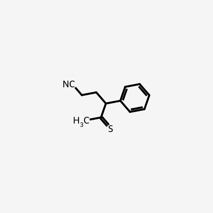 CC(=S)C(CCC#N)c1ccccc1